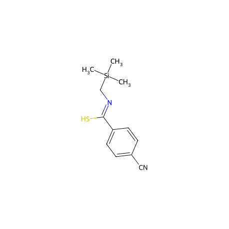 C[Si](C)(C)C/N=C(\S)c1ccc(C#N)cc1